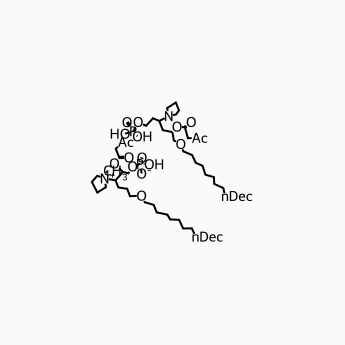 CCCCCCCCCCCCCCCCCCOCC(CC(CCOP(=O)(O)O)N1CCCC1)OC(=O)CC(C)=O.CCCCCCCCCCCCCCCCCCOCCCC(C(COP(=O)([O-])O)OC(=O)CC(C)=O)[N+]1(C)CCCC1